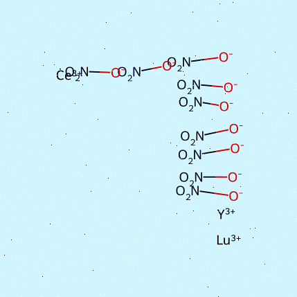 O=[N+]([O-])[O-].O=[N+]([O-])[O-].O=[N+]([O-])[O-].O=[N+]([O-])[O-].O=[N+]([O-])[O-].O=[N+]([O-])[O-].O=[N+]([O-])[O-].O=[N+]([O-])[O-].O=[N+]([O-])[O-].[Ce+3].[Lu+3].[Y+3]